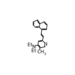 CCN(CC)c1cc(C=Cc2cccc3ccccc23)ncc1C